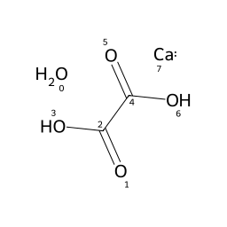 O.O=C(O)C(=O)O.[Ca]